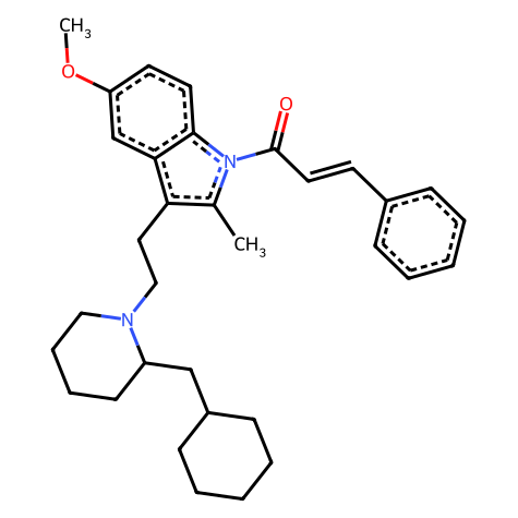 COc1ccc2c(c1)c(CCN1CCCCC1CC1CCCCC1)c(C)n2C(=O)/C=C/c1ccccc1